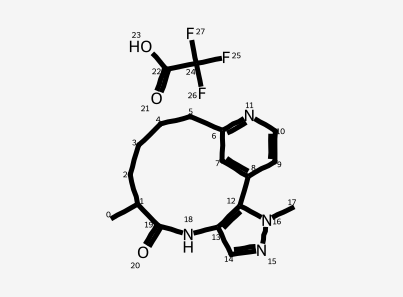 CC1CCCCc2cc(ccn2)-c2c(cnn2C)NC1=O.O=C(O)C(F)(F)F